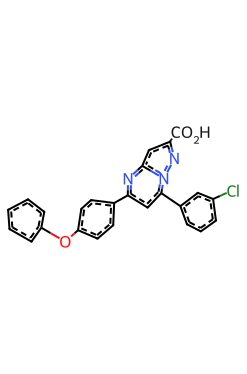 O=C(O)c1cc2nc(-c3ccc(Oc4ccccc4)cc3)cc(-c3cccc(Cl)c3)n2n1